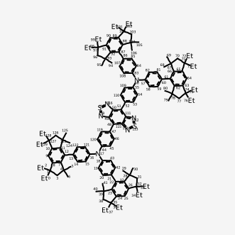 CCC1(CC)CC(C)(C)c2c1cc1c(c2-c2ccc(N(c3ccc(-c4c5c(cc6c4C(C)(C)CC6(CC)CC)C(CC)(CC)CC5(C)C)cc3)c3ccc(-c4c5c(c(-c6ccc(N(c7ccc(-c8c9c(cc%10c8C(C)(C)CC%10(CC)CC)C(CC)(CC)CC9(C)C)cc7)c7ccc(-c8c9c(cc%10c8C(C)(C)CC%10(CC)CC)C(CC)(CC)CC9(C)C)cc7)cc6)c6nsnc46)N=S=N5)cc3)cc2)C(C)(C)CC1(CC)CC